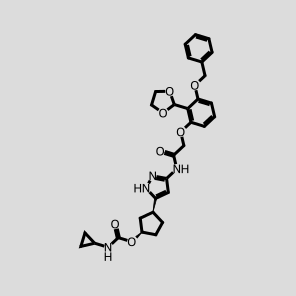 O=C(COc1cccc(OCc2ccccc2)c1C1OCCO1)Nc1cc([C@H]2CC[C@@H](OC(=O)NC3CC3)C2)[nH]n1